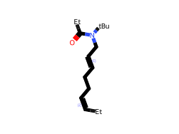 CC/C=C\CC/C=C/CN(C(=O)CC)C(C)(C)C